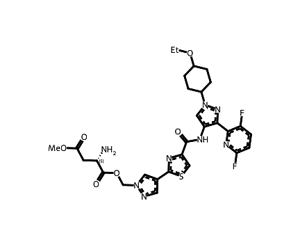 CCOC1CCC(n2cc(NC(=O)c3csc(-c4cnn(COC(=O)[C@@H](N)CC(=O)OC)c4)n3)c(-c3nc(F)ccc3F)n2)CC1